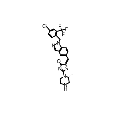 C[C@@H]1CNCCN1C1=NC(=O)C(=Cc2ccc3c(cnn3Cc3ccc(Cl)cc3C(F)(F)F)c2)S1